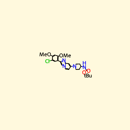 COc1cc(OC)c(-c2cn3ccc(N4CCC(NC(=O)OC(C)(C)C)CC4)cc3n2)cc1Cl